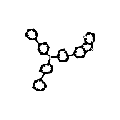 c1ccc(-c2ccc(N(c3ccc(-c4ccccc4)cc3)c3ccc(-c4ccc5oc6cccnc6c5c4)cc3)cc2)cc1